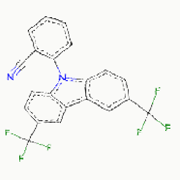 N#Cc1ccccc1-n1c2ccc(C(F)(F)F)cc2c2cc(C(F)(F)F)ccc21